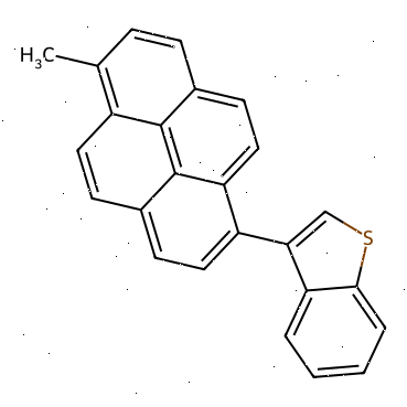 Cc1ccc2ccc3c(-c4csc5ccccc45)ccc4ccc1c2c43